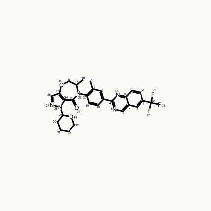 Cc1cc(-c2ncc3cc(C(F)(F)F)ccc3n2)ccc1N1C(=O)c2c(cnn2C2CCCCO2)OCC1C